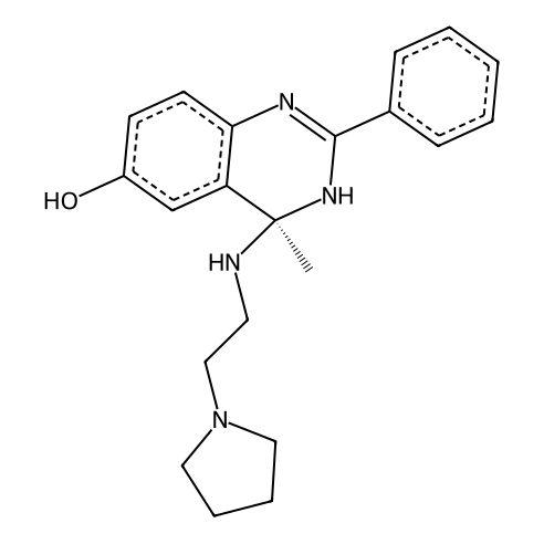 C[C@@]1(NCCN2CCCC2)NC(c2ccccc2)=Nc2ccc(O)cc21